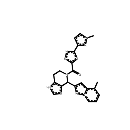 Cc1cccn2nc(C3c4nc[nH]c4CCN3C(=O)c3nnc(-c4ccn(C)n4)s3)cc12